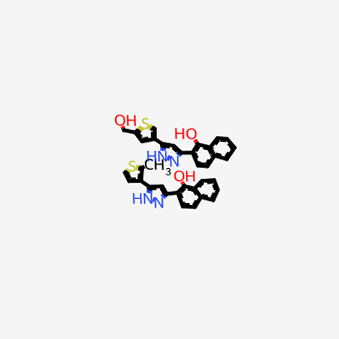 Cc1sccc1-c1cc(-c2ccc3ccccc3c2O)n[nH]1.OCc1cc(-c2cc(-c3ccc4ccccc4c3O)n[nH]2)cs1